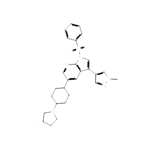 Cn1cc(-c2cn(S(=O)(=O)c3ccccc3)c3ncc(C4CCC(N5CC[C@H](F)C5)CC4)cc23)cn1